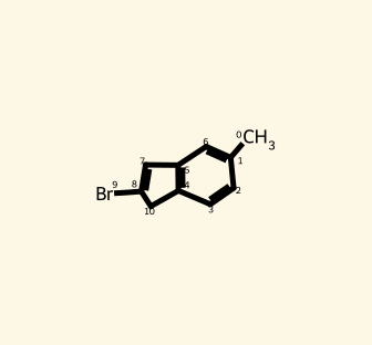 Cc1ccc2c(c1)C=C(Br)C2